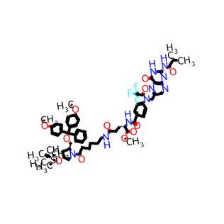 COC(=O)[C@H](CCC(=O)NCCCCCC(=O)N1C[C@H](O[Si](C)(C)C(C)(C)C)C[C@H]1COC(c1ccccc1)(c1ccc(OC)cc1)c1ccc(OC)cc1)NC(=O)c1ccc(N(Cc2cnc3nc(NC(=O)C(C)C)[nH]c(=O)c3n2)C(=O)C(F)(F)F)cc1